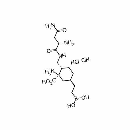 Cl.Cl.NC(=O)C[C@H](N)C(=O)NC[C@@H]1CC[C@@H](CCB(O)O)C[C@]1(N)C(=O)O